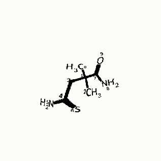 CC(C)(CC(N)=S)C(N)=O